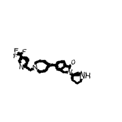 O=C1c2ccc(C3CCN(Cc4ccc(C(F)(F)F)cn4)CC3)cc2CN1C1CCCNC1